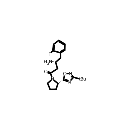 CC(C)(C)c1noc([C@@H]2CCCN2C(=O)C[C@H](N)Cc2ccccc2F)n1